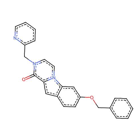 O=c1c2cc3ccc(OCc4ccccc4)cc3n2ccn1Cc1ccccn1